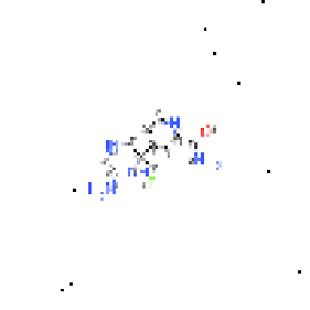 NC(=O)c1cc(C2(CF)CNCC(N)N2)ccn1